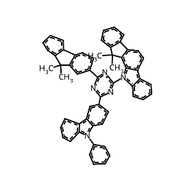 CC1(C)c2ccccc2-c2ccc(-c3nc(-c4ccc5c(c4)c4ccccc4n5-c4ccccc4)nc(-n4c5ccccc5c5ccc6c(c54)C(C)(C)c4ccccc4-6)n3)cc21